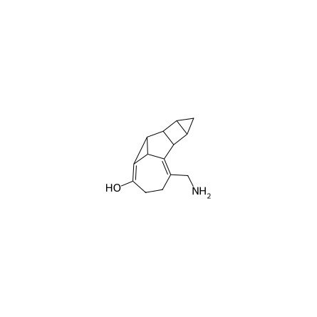 NCC1=C2C3C(=C(O)CC1)C3C1C3CC3C21